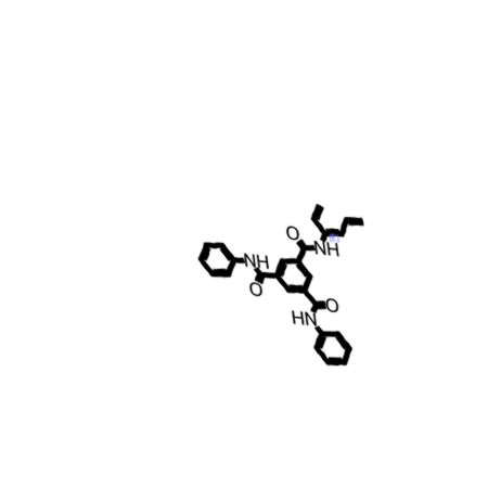 C=C/C=C(\C=C)NC(=O)c1cc(C(=O)Nc2ccccc2)cc(C(=O)Nc2ccccc2)c1